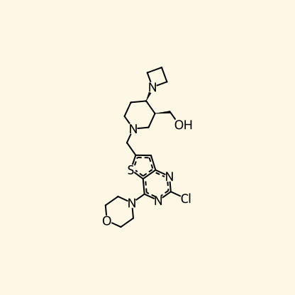 OC[C@H]1CN(Cc2cc3nc(Cl)nc(N4CCOCC4)c3s2)CC[C@H]1N1CCC1